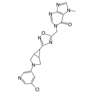 Cn1cnc2ncn(Cc3nc(C4C5CN(c6cncc(Cl)c6)CC54)no3)c(=O)c21